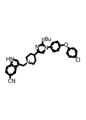 CCCCc1nc(C2CCN(Cc3c[nH]c4ccc(C#N)cc34)CC2)cn1-c1ccc(Oc2ccc(Cl)cc2)cc1